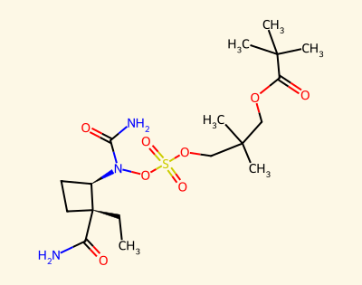 CC[C@@]1(C(N)=O)CC[C@H]1N(OS(=O)(=O)OCC(C)(C)COC(=O)C(C)(C)C)C(N)=O